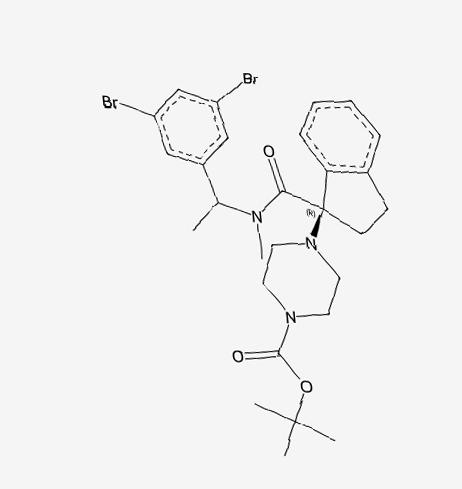 CC(c1cc(Br)cc(Br)c1)N(C)C(=O)[C@@]1(N2CCN(C(=O)OC(C)(C)C)CC2)CCc2ccccc21